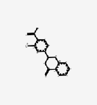 C=C(C)c1ccc(C2CC(=C)c3ccccc3C2)cc1Cl